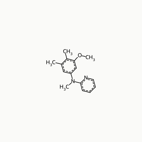 COc1cc(N(C)c2ccccn2)cc(C)c1C